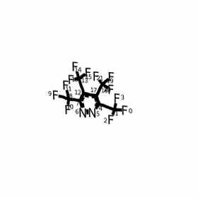 FC(F)(F)c1nnc(C(F)(F)F)c(C(F)(F)F)c1C(F)(F)F